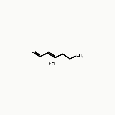 CCCC=CC=O.Cl